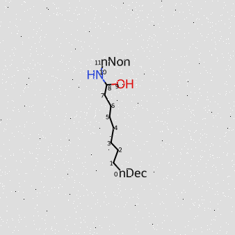 CCCCCCCCCCCCCCCCCC(O)NCCCCCCCCC